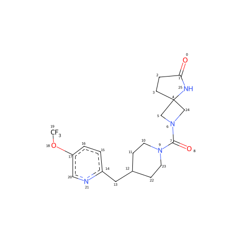 O=C1CCC2(CN(C(=O)N3CCC(Cc4ccc(OC(F)(F)F)cn4)CC3)C2)N1